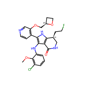 COc1c(Cl)cccc1Nc1c(-c2ccncc2OC[C@H]2CCO2)[nH]c2c1C(=O)NC[C@@H]2CCF